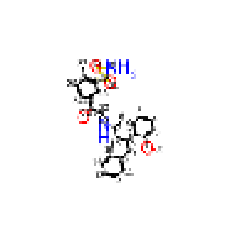 COc1ccccc1C(Cc1ccccc1)CC(C)NCC(=O)c1ccc(C)c(S(N)(=O)=O)c1